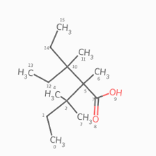 CCC(C)(C)C(C)(C(=O)O)C(C)(CC)CC